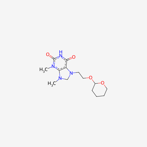 CN1CN(CCOC2CCCCO2)c2c1n(C)c(=O)[nH]c2=O